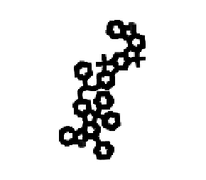 CC1(C)c2cc(CC(Cc3ccc4c(c3)C(c3ccccc3)(c3ccccc3)c3cc(-c5ccccc5)c5oc6ccccc6c5c3-4)c3ccccc3)ccc2-c2cc3c(cc21)-c1c(ccc2oc4ccccc4c12)C3(C)C